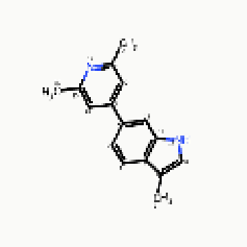 Cc1cc(-c2ccc3c(C)c[nH]c3c2)cc(C)n1